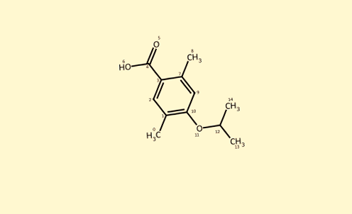 Cc1cc(C(=O)O)c(C)cc1OC(C)C